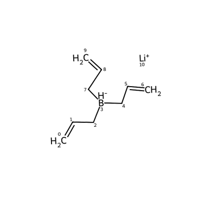 C=CC[BH-](CC=C)CC=C.[Li+]